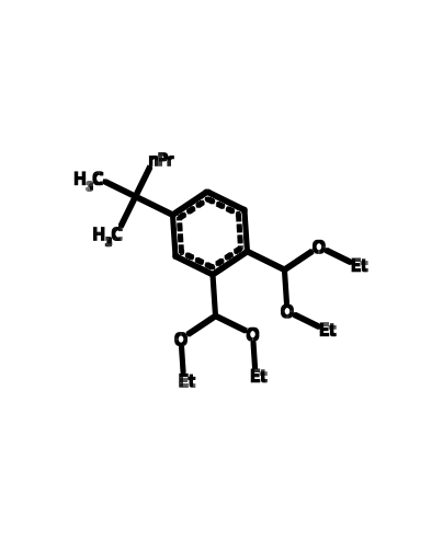 CCCC(C)(C)c1ccc(C(OCC)OCC)c(C(OCC)OCC)c1